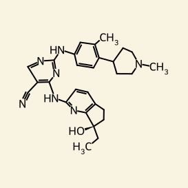 CC[C@@]1(O)CCc2ccc(Nc3nc(Nc4ccc(C5CCN(C)CC5)c(C)c4)ncc3C#N)nc21